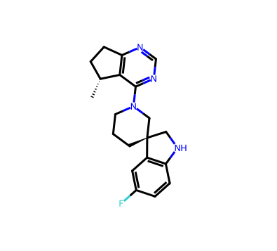 C[C@@H]1CCc2ncnc(N3CCC[C@]4(CNc5ccc(F)cc54)C3)c21